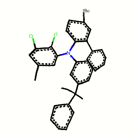 Cc1cc(Cl)c(Cl)c(N(c2cccc(C(C)(C)c3ccccc3)c2)c2ccc(C(C)(C)C)cc2-c2ccccc2)c1